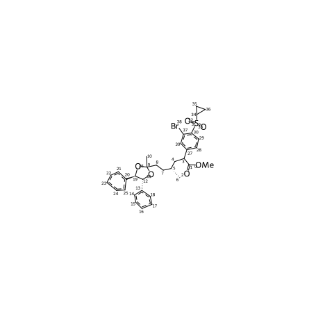 COC(=O)C(C[C@H](C)CCC1(C)O[C@H](c2ccccc2)[C@@H](c2ccccc2)O1)c1ccc(S(=O)(=O)C2CC2)c(Br)c1